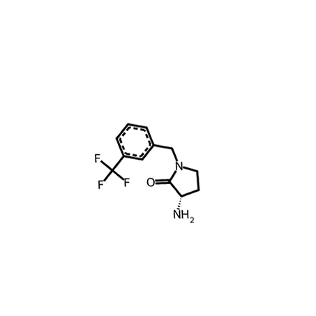 N[C@H]1CCN(Cc2cccc(C(F)(F)F)c2)C1=O